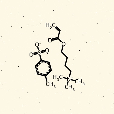 C=CC(=O)OCCCC[N+](C)(C)C.Cc1ccc(S(=O)(=O)[O-])cc1